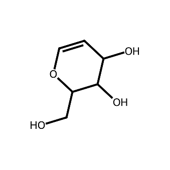 OCC1OC=CC(O)C1O